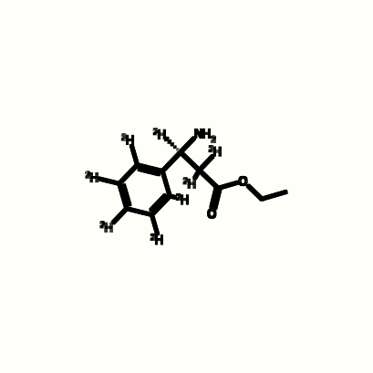 [2H]c1c([2H])c([2H])c([C@@]([2H])(N)C([2H])([2H])C(=O)OCC)c([2H])c1[2H]